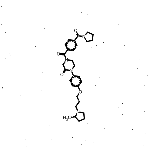 CC1CCCN1CCCOc1ccc(N2CCN(C(=O)c3ccc(C(=O)N4CCCC4)cc3)CC2=O)cc1